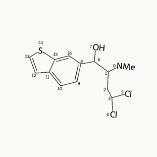 CNC(CC(Cl)Cl)C(O)c1ccc2ccsc2c1